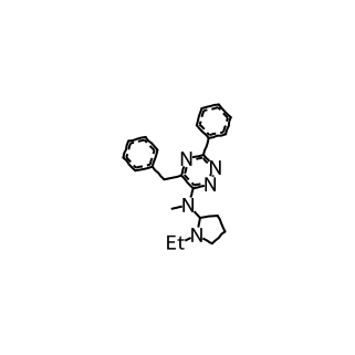 CCN1CCCC1N(C)c1nnc(-c2ccccc2)nc1Cc1ccccc1